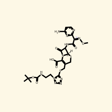 CO/N=C(\C(=O)NC1C(=O)N2C(C(=O)O)=C(CSc3nnnn3CCNC(=O)OC(C)(C)C)CS[C@H]12)c1nccc(N)n1